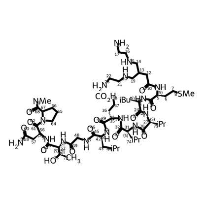 CC[C@H](C)[C@H](NC(=O)[C@H](CCSC)NC(=O)CC(CNCCN)CNCCN)C(=O)N[C@H](C(=O)N[C@H](C(=O)N[C@@H](CCC(=O)O)C(=O)N[C@@H](CC(C)C)C(=O)NCC(=O)N[C@H](C(=O)N[C@@H](CC(N)=O)C(=O)N1CCCC1C(=O)NC)[C@@H](C)O)C(C)C)C(C)C